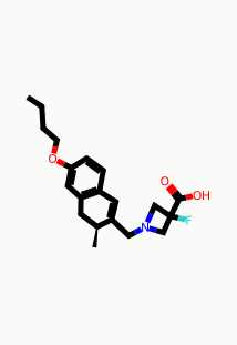 CCCCOc1ccc2c(c1)C[C@H](C)C(CN1CC(F)(C(=O)O)C1)=C2